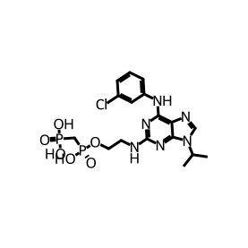 CC(C)n1cnc2c(Nc3cccc(Cl)c3)nc(NCCOP(=O)(O)CP(=O)(O)O)nc21